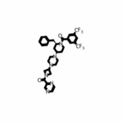 O=C(c1cnccn1)N1CC(N2CCN([C@H]3CCN(C(=O)c4cc(C(F)(F)F)cc(C(F)(F)F)c4)[C@H](Cc4ccccc4)C3)CC2)C1